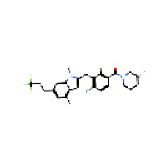 Cc1cc(CCC(F)(F)F)cc2c1cc(Cc1c(Cl)ccc(C(=O)N3CCC[C@H](C)C3)c1Cl)n2C